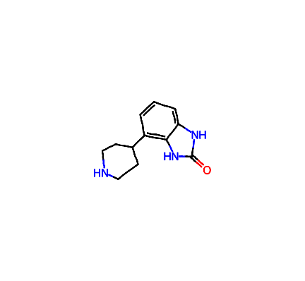 O=c1[nH]c2cccc(C3CCNCC3)c2[nH]1